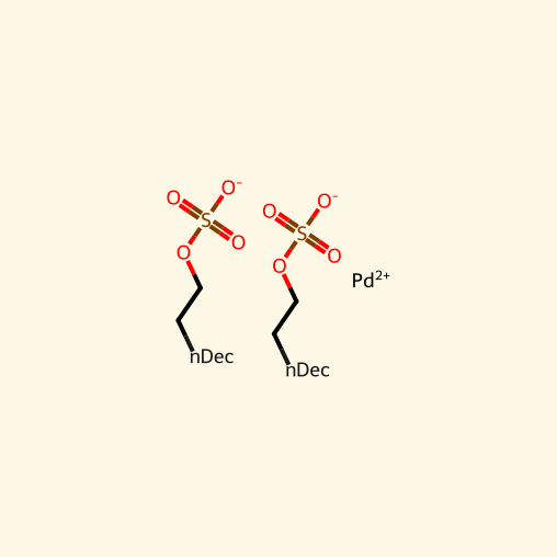 CCCCCCCCCCCCOS(=O)(=O)[O-].CCCCCCCCCCCCOS(=O)(=O)[O-].[Pd+2]